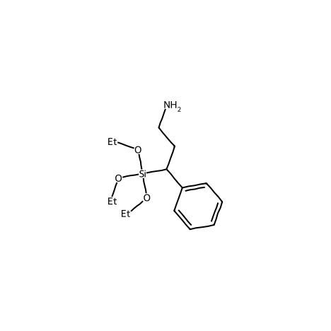 CCO[Si](OCC)(OCC)C(CCN)c1ccccc1